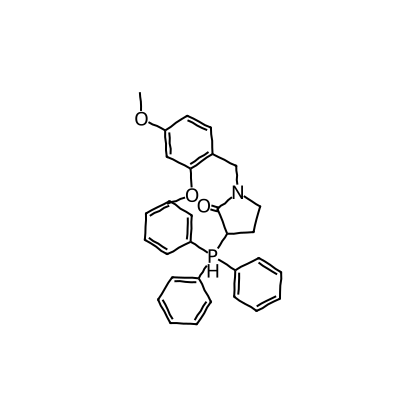 COc1ccc(CN2CCC([PH](c3ccccc3)(c3ccccc3)c3ccccc3)C2=O)c(OC)c1